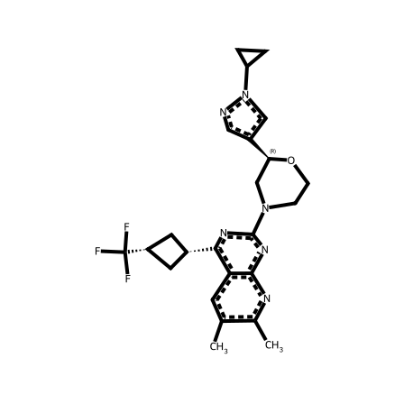 Cc1cc2c(nc(N3CCO[C@H](c4cnn(C5CC5)c4)C3)nc2[C@H]2C[C@@H](C(F)(F)F)C2)nc1C